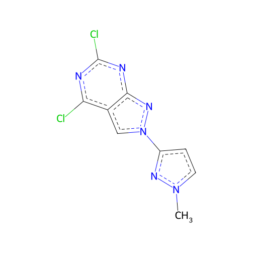 Cn1ccc(-n2cc3c(Cl)nc(Cl)nc3n2)n1